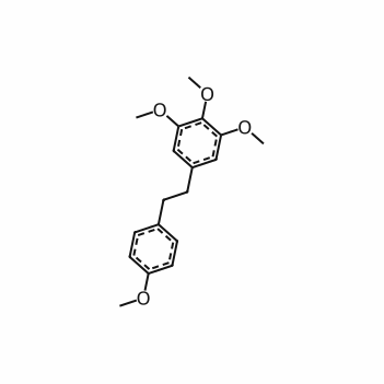 COc1ccc(CCc2cc(OC)c(OC)c(OC)c2)cc1